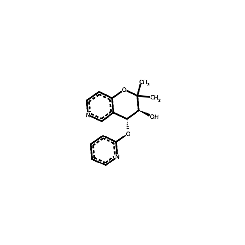 CC1(C)Oc2ccncc2[C@@H](Oc2ccccn2)[C@@H]1O